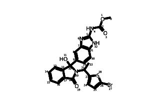 COC(=O)Nc1nc2cc(C3(O)c4ccccc4C(=O)N3C(C)c3ccc(Br)s3)ccc2[nH]1